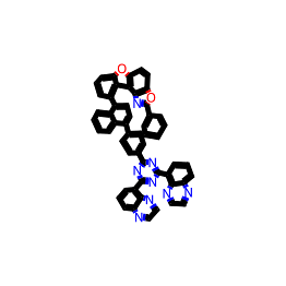 c1ccc(-c2nc3c(ccc4oc5cccc(-c6ccc(-c7ccc(-c8nc(-c9cccc%10nccnc9%10)nc(-c9cccc%10nccnc9%10)n8)cc7)c7ccccc67)c5c43)o2)cc1